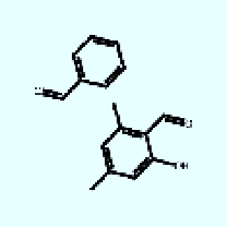 Cc1cc(C)c(C=O)c(O)c1.O=Cc1ccccc1